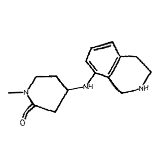 CN1CCC(Nc2cccc3c2CNCC3)CC1=O